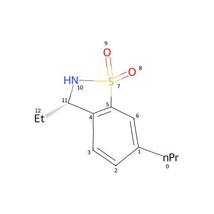 CCCc1ccc2c(c1)S(=O)(=O)N[C@H]2CC